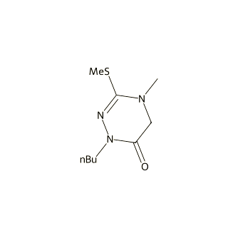 CCCCN1N=C(SC)N(C)CC1=O